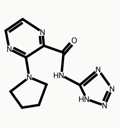 O=C(Nc1nnn[nH]1)c1nccnc1N1CCCC1